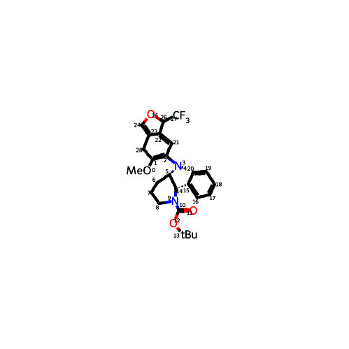 COC1=C(N(C)[C@H]2CCCN(C(=O)OC(C)(C)C)[C@H]2c2ccccc2)C=C2C(=COC2C(F)(F)F)C1